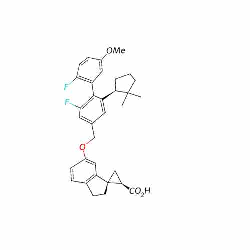 COc1ccc(F)c(-c2c(F)cc(COc3ccc4c(c3)[C@]3(CC4)C[C@H]3C(=O)O)cc2[C@H]2CCCC2(C)C)c1